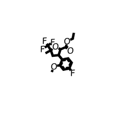 CCOC(=O)C1OC(C)(C(F)(F)F)CC1c1ccc(F)cc1OC